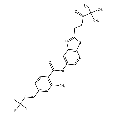 Cc1cc(C=CC(F)(F)F)ccc1C(=O)Nc1cnc2sc(COC(=O)C(C)(C)C)nc2c1